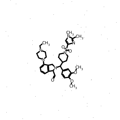 CCN1CCN(c2cccc3c2CN(C(c2ccc(OC)c(OC)c2)C2CCN(S(=O)(=O)c4cn(C)c(C)n4)CC2)C3C=O)CC1